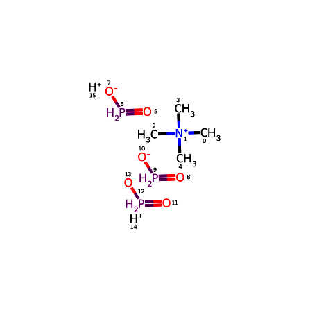 C[N+](C)(C)C.O=[PH2][O-].O=[PH2][O-].O=[PH2][O-].[H+].[H+]